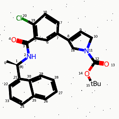 C[C@@H](NC(=O)c1cc(C2=CCN(C(=O)OC(C)(C)C)C2)ccc1Cl)c1cccc2ccccc12